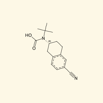 CC(C)(C)N(C(=O)O)[C@@H]1CCc2cc(C#N)ccc2C1